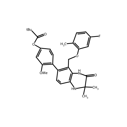 COc1cc(OC(=O)C(C)(C)C)ccc1-c1ccc2c(c1COc1cc(F)ccc1C)NC(=O)C(C)(C)N2